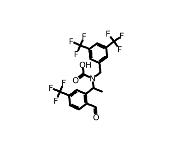 CC(c1cc(C(F)(F)F)ccc1C=O)N(Cc1cc(C(F)(F)F)cc(C(F)(F)F)c1)C(=O)O